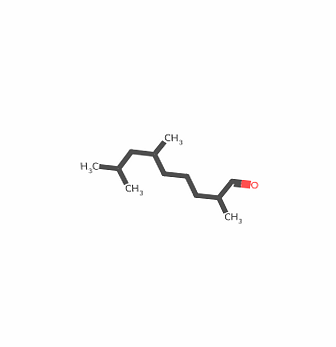 CC(C)CC(C)CCCC(C)C=O